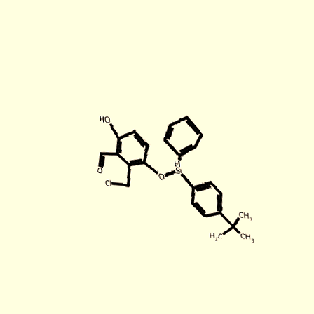 CC(C)(C)c1ccc([SiH](Oc2ccc(O)c(C=O)c2CCl)c2ccccc2)cc1